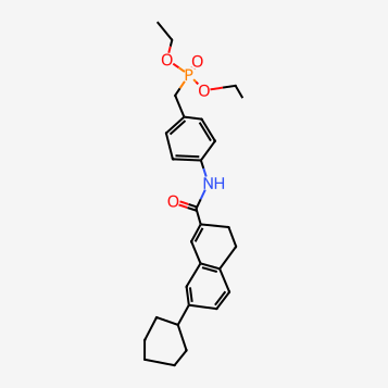 CCOP(=O)(Cc1ccc(NC(=O)C2=Cc3cc(C4CCCCC4)ccc3CC2)cc1)OCC